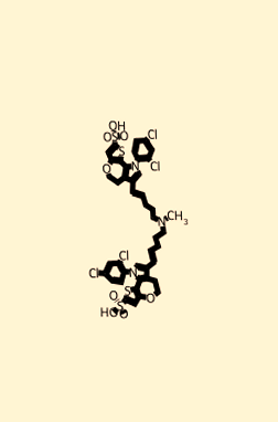 CN(CCC/C=C/c1cn(-c2ccc(Cl)cc2Cl)c2c1CCOc1cc(S(=O)(=O)O)sc1-2)CCC/C=C/c1cn(-c2ccc(Cl)cc2Cl)c2c1CCOc1cc(S(=O)(=O)O)sc1-2